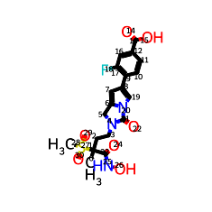 CC(CCN1Cc2cc(-c3ccc(C(=O)O)cc3F)cn2C1=O)(C(=O)NO)S(C)(=O)=O